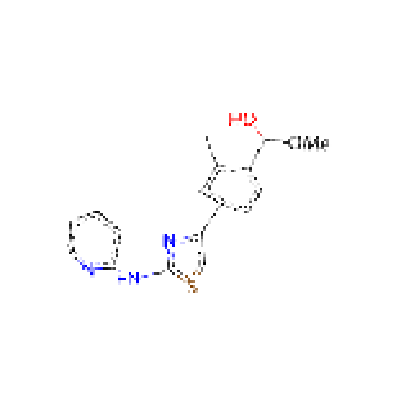 COC(O)c1ccc(-c2csc(Nc3ccccn3)n2)cc1C